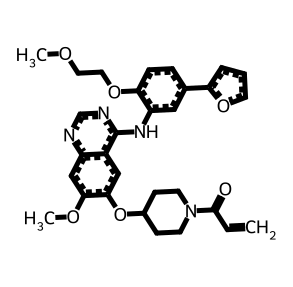 C=CC(=O)N1CCC(Oc2cc3c(Nc4cc(-c5ccco5)ccc4OCCOC)ncnc3cc2OC)CC1